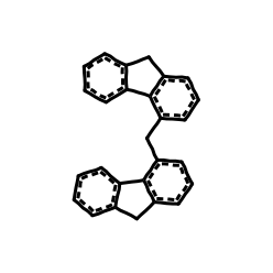 c1ccc2c(c1)Cc1cccc(Cc3cccc4c3-c3ccccc3C4)c1-2